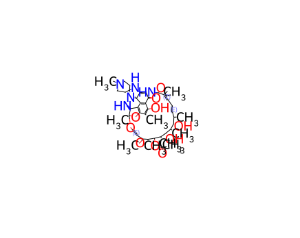 COC1/C=C/OC2(C)Oc3c(C)c(O)c4c(c3C2=N)C2=NC3(CCN(C)CC3)NC2=C(NC(=O)/C(C)=C\C=C\C(C)C(O)C(C)C(O)C(C)C(OC(C)=O)C1C)C4=O